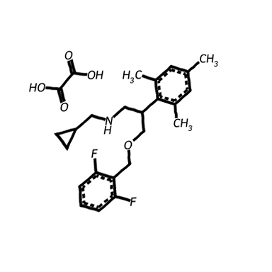 Cc1cc(C)c(C(CNCC2CC2)COCc2c(F)cccc2F)c(C)c1.O=C(O)C(=O)O